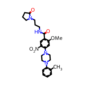 COc1cc(N2CCN(c3ccccc3C)CC2)c([N+](=O)[O-])cc1C(=O)NCCCN1CCCC1=O